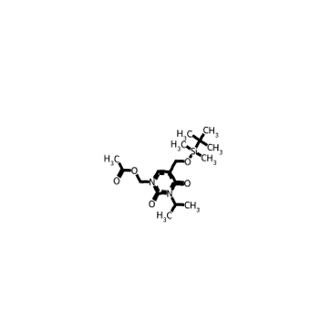 CC(=O)OCn1cc(CO[Si](C)(C)C(C)(C)C)c(=O)n(C(C)C)c1=O